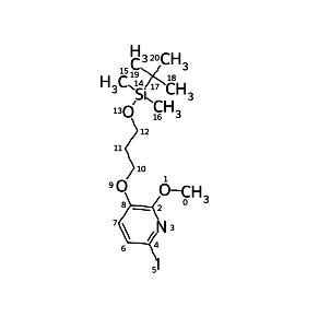 COc1nc(I)ccc1OCCCO[Si](C)(C)C(C)(C)C